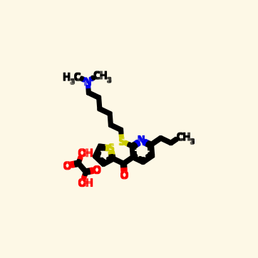 CCCc1ccc(C(=O)c2cccs2)c(SCCCCCCN(C)C)n1.O=C(O)C(=O)O